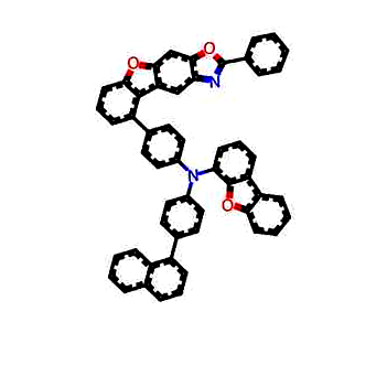 c1ccc(-c2nc3cc4c(cc3o2)oc2cccc(-c3ccc(N(c5ccc(-c6cccc7ccccc67)cc5)c5cccc6c5oc5ccccc56)cc3)c24)cc1